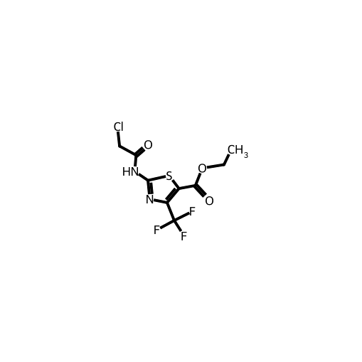 CCOC(=O)c1sc(NC(=O)CCl)nc1C(F)(F)F